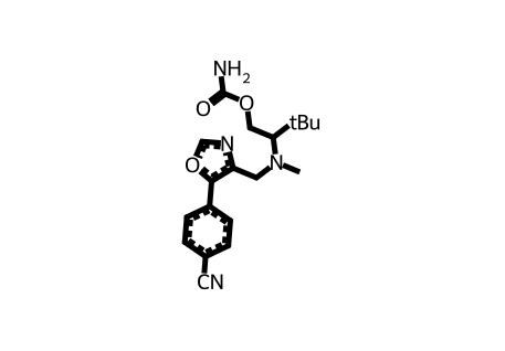 CN(Cc1ncoc1-c1ccc(C#N)cc1)C(COC(N)=O)C(C)(C)C